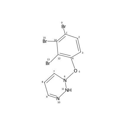 Brc1ccc(ON2C=CC=NN2)c(Br)c1Br